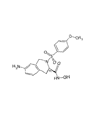 COc1ccc(S(=O)(=O)N2Cc3cc(N)ccc3C[C@@H]2C(=O)NO)cc1